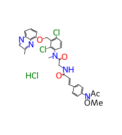 CON(C(C)=O)c1ccc(C=CC(=O)NCC(=O)N(C)c2ccc(Cl)c(COc3cccc4ncc(C)nc34)c2Cl)cc1.Cl